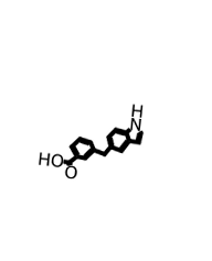 O=C(O)c1cccc(Cc2ccc3[nH]ccc3c2)c1